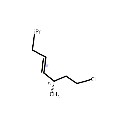 CC(C)C/C=C/[C@@H](C)CCCl